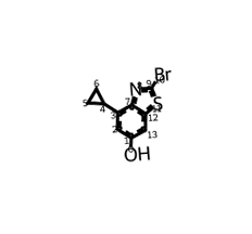 Oc1cc(C2CC2)c2nc(Br)sc2c1